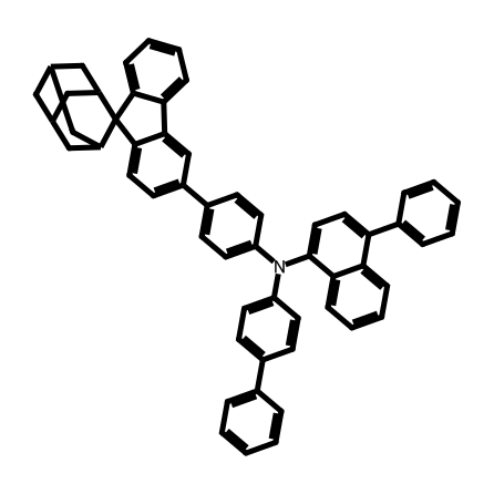 c1ccc(-c2ccc(N(c3ccc(-c4ccc5c(c4)-c4ccccc4C54C5CC6CC(C5)CC4C6)cc3)c3ccc(-c4ccccc4)c4ccccc34)cc2)cc1